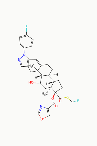 CC12Cc3cnn(-c4ccc(F)cc4)c3C=C1CC[C@@H]1[C@@H]2[C@@H](O)C[C@@]2(C)[C@H]1CC[C@]2(OC(=O)c1cocn1)C(=O)SCF